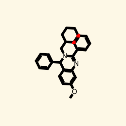 COc1ccc2c(c1)N=C(c1ccccc1)N(CC1CCCCC1)C2c1ccccc1